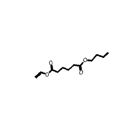 C=COC(=O)CCCCC(=O)OCCCC